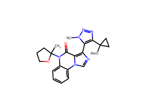 COC1(c2nnn(C#N)c2-c2ncn3c2c(=O)n(C2(C)CCCO2)c2ccccc23)CC1